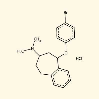 CN(C)C1CCc2ccccc2C(Oc2ccc(Br)cc2)C1.Cl